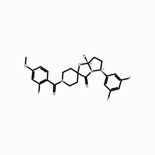 COc1ccc(C(=O)N2CCC3(CC2)O[C@@H]2CC[C@@H](c4cc(F)cc(F)c4)N2C3=O)c(F)c1